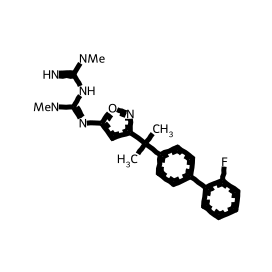 CNC(=N)NC(=Nc1cc(C(C)(C)c2ccc(-c3ccccc3F)cc2)no1)NC